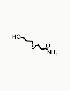 NC(=O)CCSCCCO